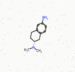 CN(C)[C@@H]1CCc2cc(N)ccc2C1